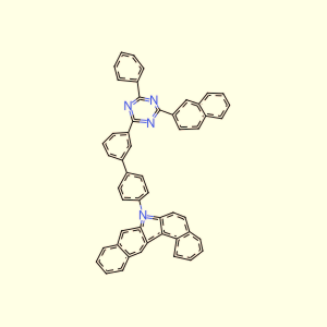 c1ccc(-c2nc(-c3cccc(-c4ccc(-n5c6cc7ccccc7cc6c6c7ccccc7ccc65)cc4)c3)nc(-c3ccc4ccccc4c3)n2)cc1